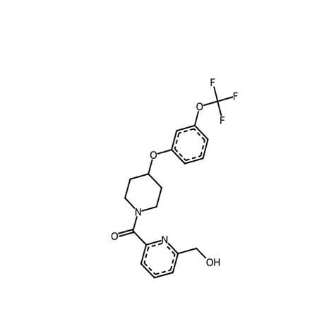 O=C(c1cccc(CO)n1)N1CCC(Oc2cccc(OC(F)(F)F)c2)CC1